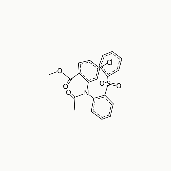 COC(=O)c1ccc(Cl)cc1N(C(C)=O)c1ccccc1S(=O)(=O)c1ccccc1